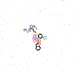 CN(C)CCC[S+]([O-])c1ccc(Cl)cc1NS(=O)(=O)c1cc2ccccc2o1